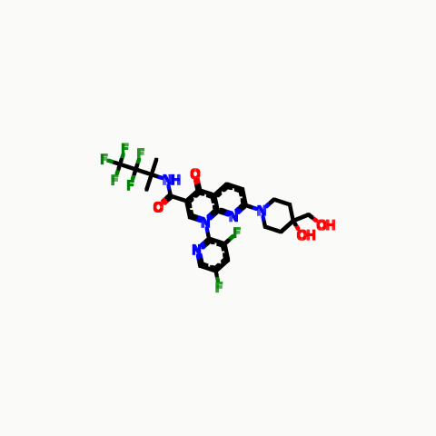 CC(C)(NC(=O)c1cn(-c2ncc(F)cc2F)c2nc(N3CCC(O)(CO)CC3)ccc2c1=O)C(F)(F)C(F)(F)F